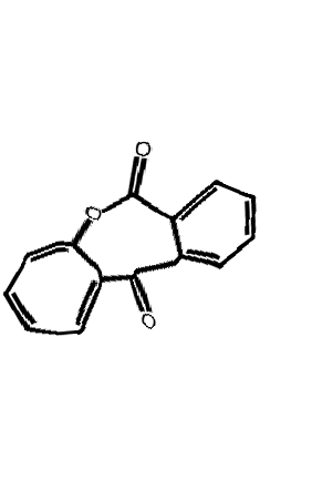 O=c1oc2ccccc2c(=O)c2ccccc12